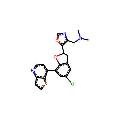 CN(C)Cc1ncoc1C1Cc2cc(Cl)cc(-c3ccnc4ccsc34)c2O1